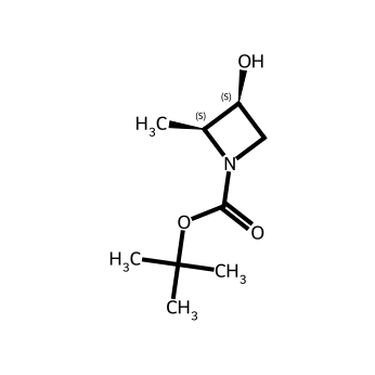 C[C@H]1[C@@H](O)CN1C(=O)OC(C)(C)C